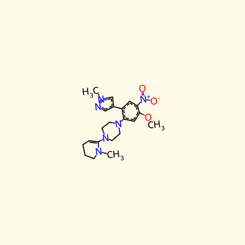 COc1cc(N2CCN(C3=CCCCN3C)CC2)c(-c2cnn(C)c2)cc1[N+](=O)[O-]